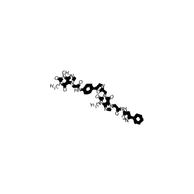 Cn1c(=O)c2c(ncn2CC(=O)Nc2ccc(-c3cnc(Cn4c(=O)c5c(ncn5CC(=O)Nc5cc(-c6ccccc6)no5)n(C)c4=O)o3)cc2)n(C)c1=O